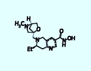 CC[C@@H]1Cc2ncc(C(=O)NO)cc2CN1C[C@]12C[C@H](CO1)N(C)C2